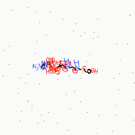 CC(C)(COP(=O)(O)OP(=O)(O)OC[C@H]1O[C@@H](n2cnc3c(N)ncnc32)[C@H](O)[C@@H]1OP(=O)(O)O)[C@@H](O)C(=O)NCCC(=O)NCCSC(=O)Cc1ccc(O)cc1